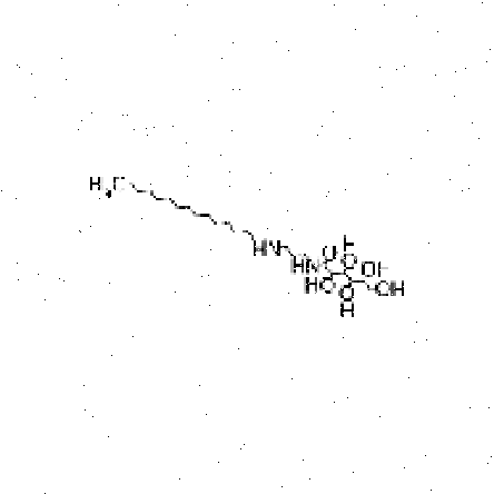 CCCCCCCCCCCCCCCCNCCCNC(=O)[C@H](O)[C@@H](O)[C@H](O)[C@H](O)CO